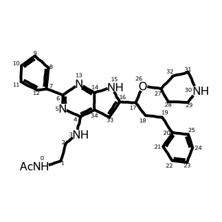 CC(=O)NCCNc1nc(-c2ccccc2)nc2[nH]c(C(CCc3ccccc3)OC3CCNCC3)cc12